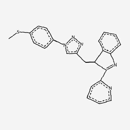 CSc1ccc(-n2cc(CC3C(c4ccccn4)=Nc4ccccc43)nn2)cc1